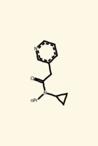 CCCN(C(=O)Cc1cccnc1)C1CC1